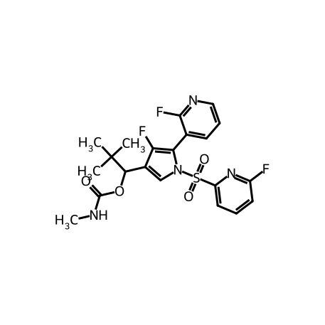 CNC(=O)OC(c1cn(S(=O)(=O)c2cccc(F)n2)c(-c2cccnc2F)c1F)C(C)(C)C